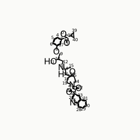 O=S(=O)(c1cccc(OCC(O)CN[C@H]2COC3(CCN(S(=O)(=O)c4cnc5ccccc5c4)CC3)C2)c1)C1CC1